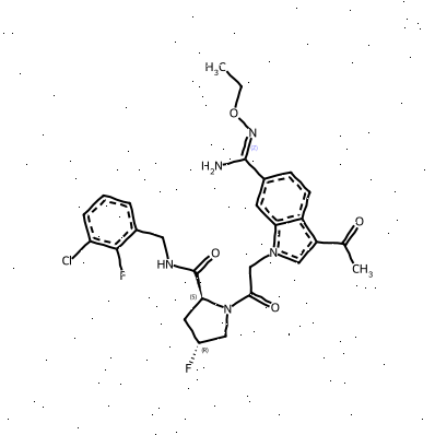 CCO/N=C(\N)c1ccc2c(C(C)=O)cn(CC(=O)N3C[C@H](F)C[C@H]3C(=O)NCc3cccc(Cl)c3F)c2c1